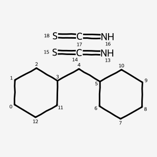 C1CCC(CC2CCCCC2)CC1.N=C=S.N=C=S